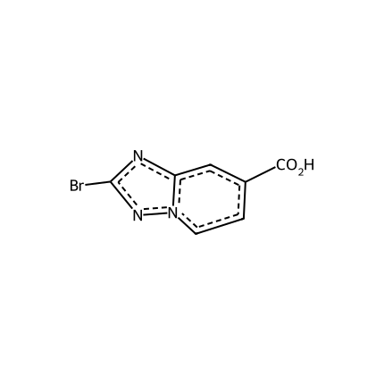 O=C(O)c1ccn2nc(Br)nc2c1